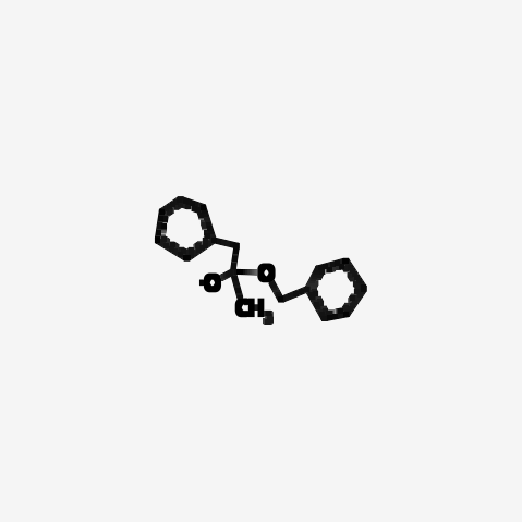 CC([O])(Cc1ccccc1)OCc1ccccc1